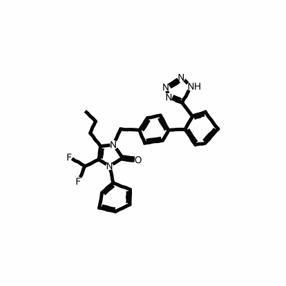 CCCc1c(C(F)F)n(-c2ccccc2)c(=O)n1Cc1ccc(-c2ccccc2-c2nnn[nH]2)cc1